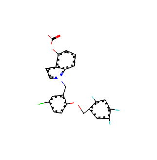 O=C(O)Oc1cccc2c1ccn2Cc1cc(Cl)ccc1OCc1cc(F)c(F)cc1F